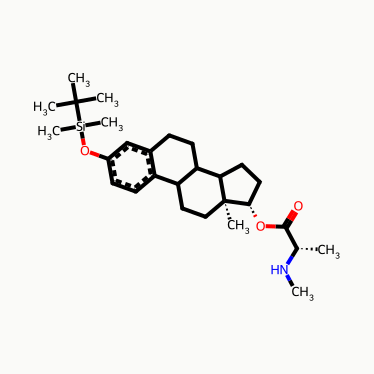 CN[C@@H](C)C(=O)O[C@H]1CCC2C3CCc4cc(O[Si](C)(C)C(C)(C)C)ccc4C3CC[C@@]21C